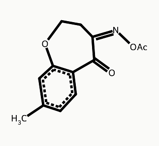 CC(=O)ON=C1CCOc2cc(C)ccc2C1=O